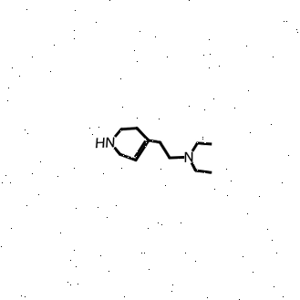 CCN(CC)CCC1=CCNCC1